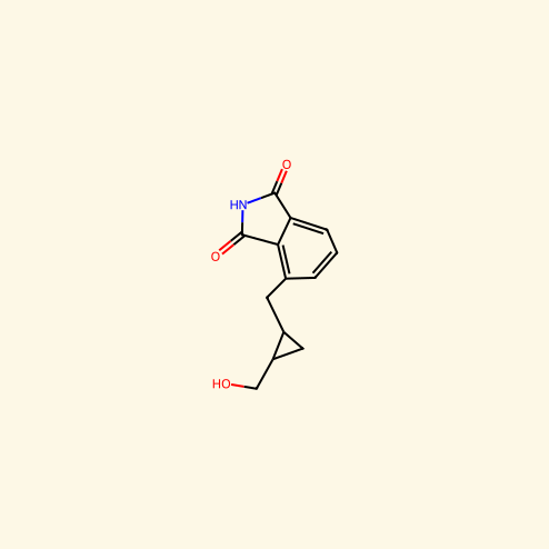 O=C1NC(=O)c2c(CC3CC3CO)cccc21